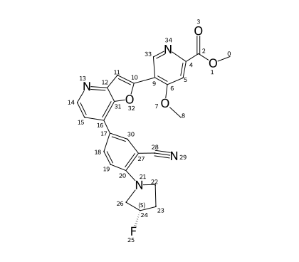 COC(=O)c1cc(OC)c(-c2cc3nccc(-c4ccc(N5CC[C@H](F)C5)c(C#N)c4)c3o2)cn1